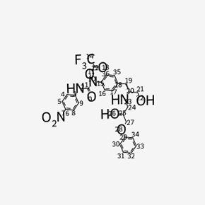 O=C(Nc1ccc([N+](=O)[O-])cc1)N(OC(=O)C(F)(F)F)c1ccc(C[C@@H](CO)NC[C@H](O)COc2ccccc2)cc1